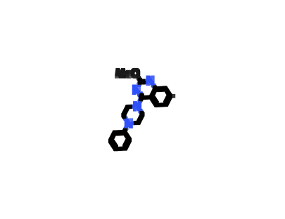 COc1nc(N2CCN(c3ccccc3)CC2)c2cc[c]cc2n1